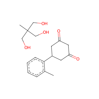 CC(CO)(CO)CO.Cc1ccccc1C1CC(=O)CC(=O)C1